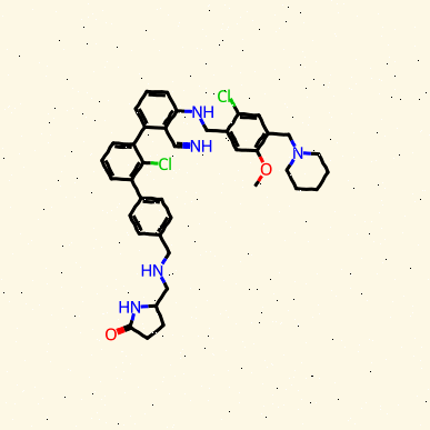 COc1cc(CNc2cccc(-c3cccc(-c4ccc(CNCC5CCC(=O)N5)cc4)c3Cl)c2C=N)c(Cl)cc1CN1CCCCC1